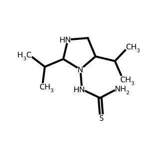 CC(C)C1CNC(C(C)C)N1NC(N)=S